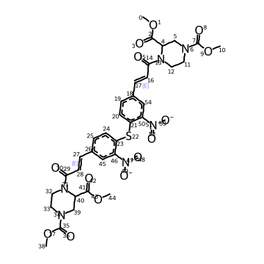 COC(=O)C1CN(C(=O)OC)CCN1C(=O)/C=C/c1ccc(Sc2ccc(/C=C/C(=O)N3CCN(C(=O)OC)CC3C(=O)OC)cc2[N+](=O)[O-])c([N+](=O)[O-])c1